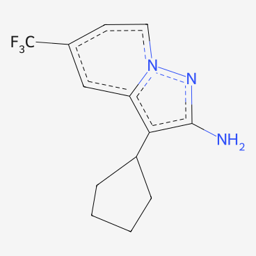 Nc1nn2ccc(C(F)(F)F)cc2c1C1CCCC1